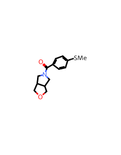 CSc1ccc(C(=O)N2CC3COCC3C2)cc1